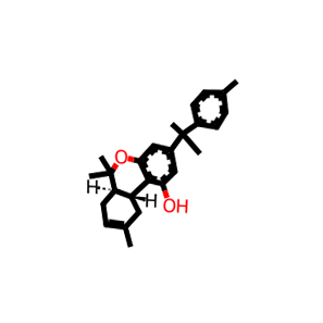 CC1=CC[C@@H]2[C@@H](C1)c1c(O)cc(C(C)(C)c3ccc(C)cc3)cc1OC2(C)C